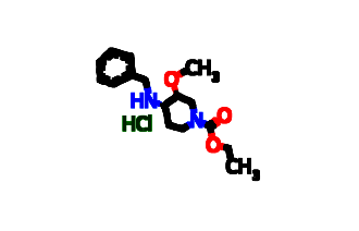 CCOC(=O)N1CC[C@@H](NCc2ccccc2)[C@@H](OC)C1.Cl